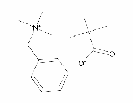 CC(C)(C)C(=O)[O-].C[N+](C)(C)Cc1ccccc1